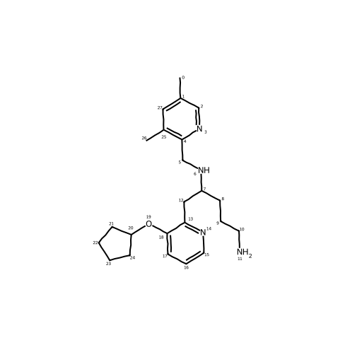 Cc1cnc(CNC(CCCN)Cc2ncccc2OC2CCCC2)c(C)c1